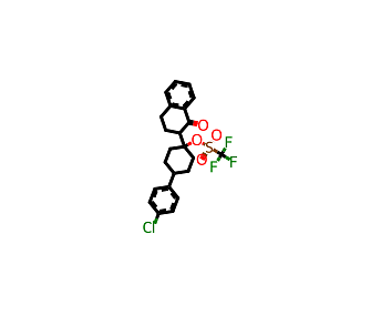 O=C1c2ccccc2CCC1C1(OS(=O)(=O)C(F)(F)F)CCC(c2ccc(Cl)cc2)CC1